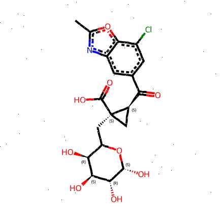 Cc1nc2cc(C(=O)[C@H]3C[C@@]3(CC3O[C@H](O)[C@H](O)[C@@H](O)[C@H]3O)C(=O)O)cc(Cl)c2o1